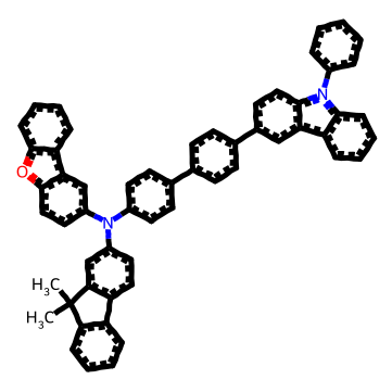 CC1(C)c2ccccc2-c2ccc(N(c3ccc(-c4ccc(-c5ccc6c(c5)c5ccccc5n6-c5ccccc5)cc4)cc3)c3ccc4oc5ccccc5c4c3)cc21